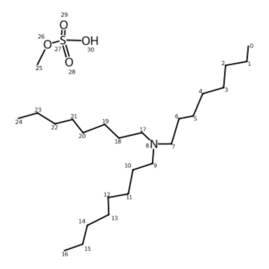 CCCCCCCCN(CCCCCCCC)CCCCCCCC.COS(=O)(=O)O